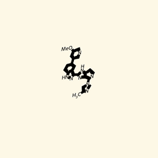 COc1cncc(-c2ccc3[nH]nc(-c4nc5c(-n6cnc(C)c6)nccc5[nH]4)c3c2)c1